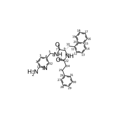 Nc1ccc(CNC(=O)[C@H](Cc2cccc3ccccc23)NC(=O)CCc2ccccc2)cn1